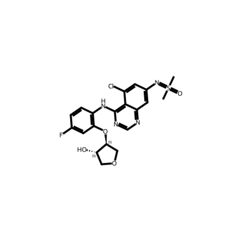 CS(C)(=O)=Nc1cc(Cl)c2c(Nc3ccc(F)cc3O[C@H]3COC[C@@H]3O)ncnc2c1